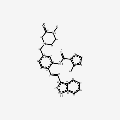 Cc1ccsc1C(=O)Nc1cc(CN2CCN(C)C(=O)C2)ccc1C=Cc1n[nH]c2ccccc12